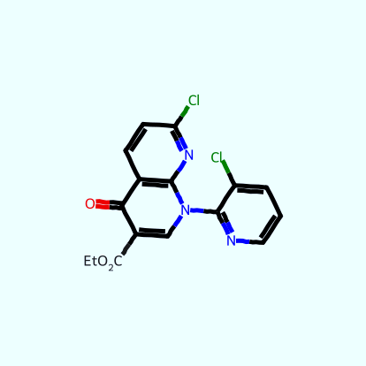 CCOC(=O)c1cn(-c2ncccc2Cl)c2nc(Cl)ccc2c1=O